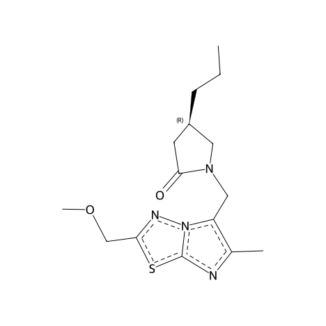 CCC[C@@H]1CC(=O)N(Cc2c(C)nc3sc(COC)nn23)C1